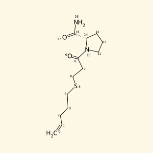 C=CCCCSCCC(=O)N1CCC[C@H]1C(N)=O